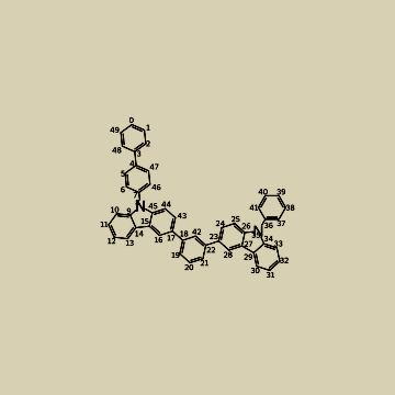 c1ccc(-c2ccc(-n3c4ccccc4c4cc(-c5cccc(-c6ccc7c(c6)c6ccccc6n7-c6ccccc6)c5)ccc43)cc2)cc1